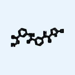 CC(C)OC(=O)c1cccc(NC(=O)c2cccc(NC(=O)c3ccc(Cl)s3)c2)c1